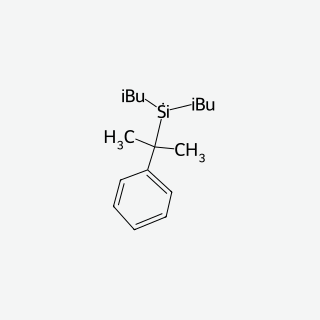 CCC(C)[Si](C(C)CC)C(C)(C)c1ccccc1